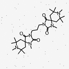 CN1C(C)(C)CC2(CC1(C)C)C(=O)N(CCCN1C(=O)N(C)C3(CC(C)(C)N(C)C(C)(C)C3)C1=O)C(=O)N2C